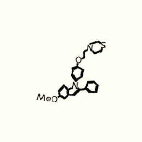 COc1ccc2c(c1)cc(-c1ccccc1)n2-c1ccc(OCCN2CCSCC2)cc1